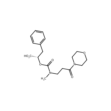 CN(CCC(=O)N1CCOCC1)C(=O)O[C@@H](Cc1ccccc1)C(=O)O